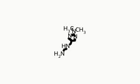 CN(C)c1ncc(CNCCN)cn1